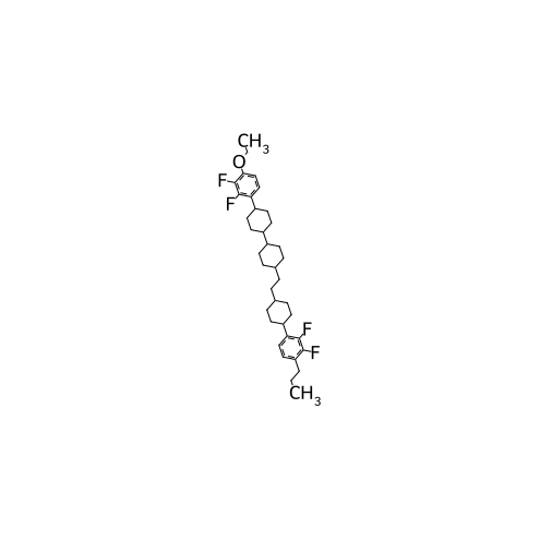 CCCc1ccc(C2CCC(CCC3CCC(C4CCC(c5ccc(OCC)c(F)c5F)CC4)CC3)CC2)c(F)c1F